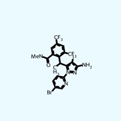 CNC(=O)c1cc(C(F)(F)F)cc(C(F)(F)F)c1C(C)c1c(I)c(N)nn1-c1ccc(Br)cn1